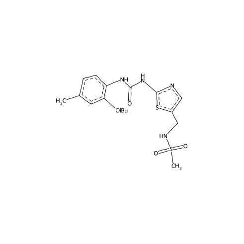 Cc1ccc(NC(=O)Nc2ncc(CNS(C)(=O)=O)s2)c(OCC(C)C)c1